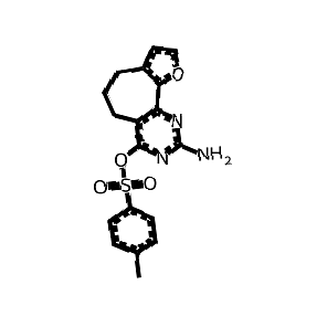 Cc1ccc(S(=O)(=O)Oc2nc(N)nc3c2CCCc2ccoc2-3)cc1